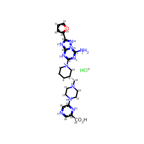 Cl.Nc1nc(N2CCC[C@@H](CN3CCN(c4cncc(C(=O)O)n4)CC3)C2)nc2nc(-c3ccco3)nn12